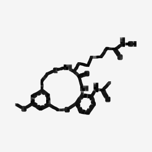 COc1cc2cc(c1)COc1cccc(NC(C)=O)c1NC(=O)C(CCCCCC(=O)NO)NCCC2